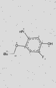 CCCc1cc(O)c(F)cc1OC[C@@H](C)CC